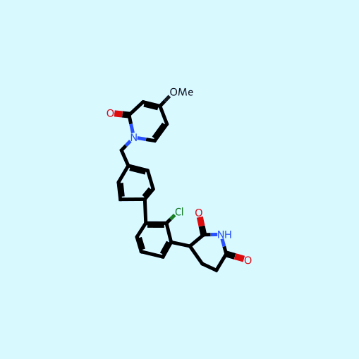 COc1ccn(Cc2ccc(-c3cccc(C4CCC(=O)NC4=O)c3Cl)cc2)c(=O)c1